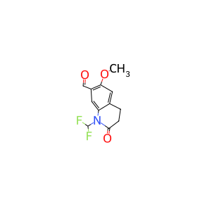 COc1cc2c(cc1C=O)N(C(F)F)C(=O)CC2